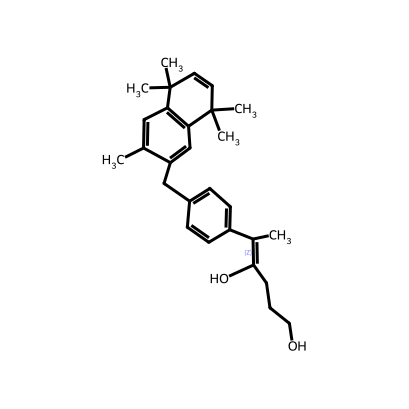 C/C(=C(/O)CCCO)c1ccc(Cc2cc3c(cc2C)C(C)(C)C=CC3(C)C)cc1